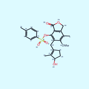 COc1c(C)c2c(c(OS(=O)(=O)c3ccc(C)cc3)c1CC1=C(C)C(O)CC1)C(=O)OC2